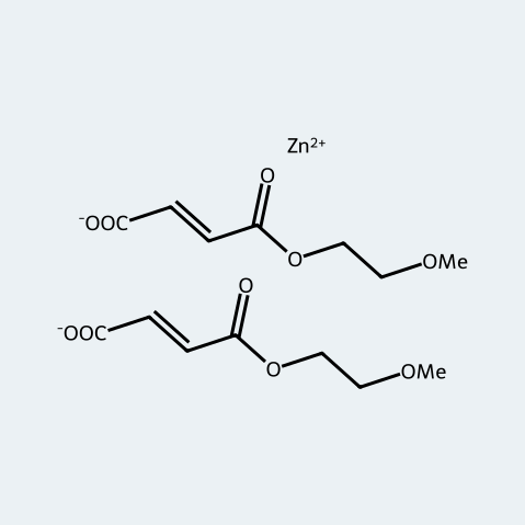 COCCOC(=O)C=CC(=O)[O-].COCCOC(=O)C=CC(=O)[O-].[Zn+2]